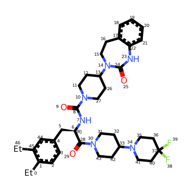 CCc1ccc(C[C@@H](NC(=O)N2CCC(N3CCc4ccccc4NC3=O)CC2)C(=O)N2CCC(N3CCC(F)(F)CC3)CC2)cc1CC